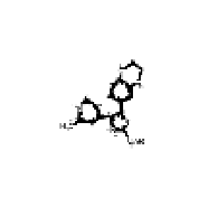 COc1nc(-c2ccc3c(c2)OCCO3)c(-c2ccnc(C)c2)[nH]1